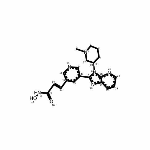 CN1CCC[C@@H](n2c(-c3cncc(C=CC(=O)NO)c3)nc3cccnc32)C1